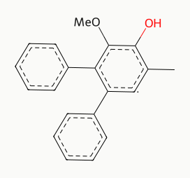 COc1c(O)c(C)[c]c(-c2ccccc2)c1-c1ccccc1